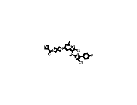 CCc1nn2c(C)cc(N3CC4(CN(C(=O)C5COC5)C4)C3)cc2c1N(C)c1nc(-c2ccc(F)cc2)c(C#N)s1